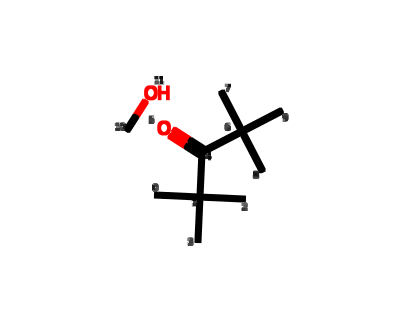 CC(C)(C)C(=O)C(C)(C)C.CO